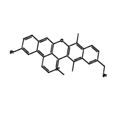 Cc1c2c(c(C)c3cc(CC(C)C)ccc13)-c1c3c(cc4ccc(C(C)C)cc4c3cc[n+]1C)O2